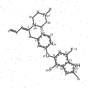 C=C/C=C(\Cc1cc(Oc2cc(F)c3[nH]c(C)cc3c2F)ncn1)N1CCN(C)CC1